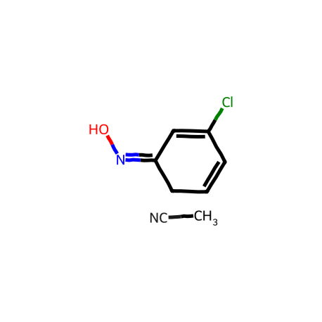 CC#N.ON=C1C=C(Cl)C=CC1